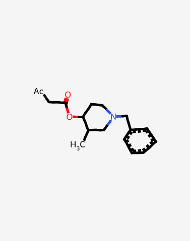 CC(=O)CC(=O)OC1CCN(Cc2ccccc2)CC1C